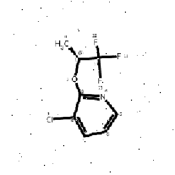 C[C@H](Oc1ncccc1Cl)C(F)(F)F